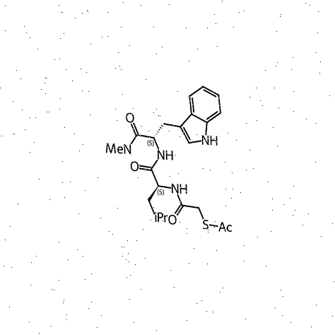 CNC(=O)[C@H](Cc1c[nH]c2ccccc12)NC(=O)[C@H](CC(C)C)NC(=O)CSC(C)=O